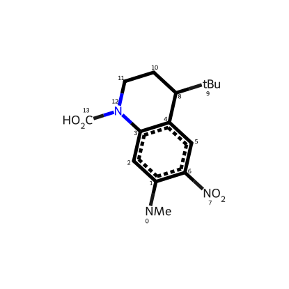 CNc1cc2c(cc1[N+](=O)[O-])C(C(C)(C)C)CCN2C(=O)O